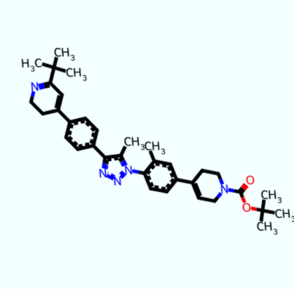 Cc1cc(C2=CCN(C(=O)OC(C)(C)C)CC2)ccc1-n1nnc(-c2ccc(C3=CC(C(C)(C)C)=NCC3)cc2)c1C